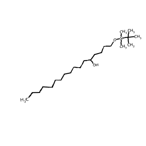 CCCCCCCCCCCCC(O)CCCCO[Si](C)(C)C(C)(C)C